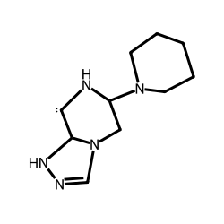 [C]1NC(N2CCCCC2)CN2C=NNC12